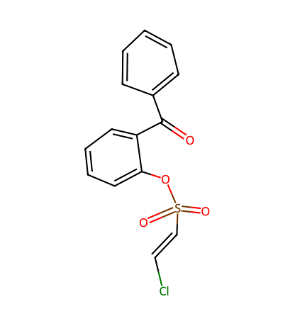 O=C(c1ccccc1)c1ccccc1OS(=O)(=O)C=CCl